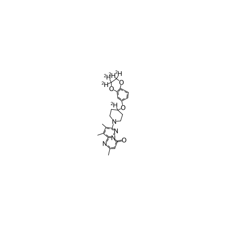 [2H]C1(Oc2ccc3c(c2)OC([2H])([2H])C([2H])([2H])O3)CCN(c2nn3c(=O)cc(C)nc3c(C)c2C)CC1